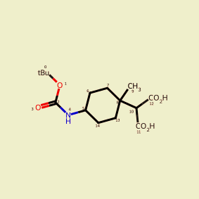 CC(C)(C)OC(=O)NC1CCC(C)(C(C(=O)O)C(=O)O)CC1